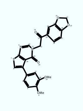 COc1ccc(-c2csc3ncn(CC(=O)c4ccc5c(c4)OCO5)c(=O)c23)cc1OC